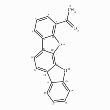 CC(=O)c1cccc2c1oc1c2ccc2c3ccccc3oc21